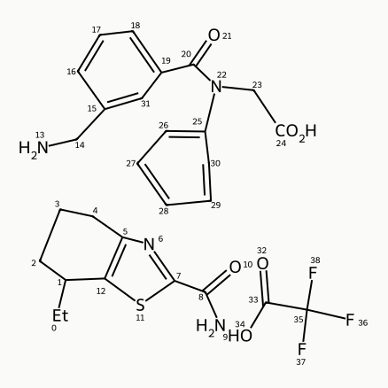 CCC1CCCc2nc(C(N)=O)sc21.NCc1cccc(C(=O)N(CC(=O)O)c2ccccc2)c1.O=C(O)C(F)(F)F